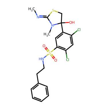 CN=C1SCC(O)(c2cc(S(=O)(=O)NCCc3ccccc3)c(Cl)cc2Cl)N1C